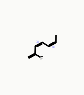 C=C(F)/C=C\C=C/C